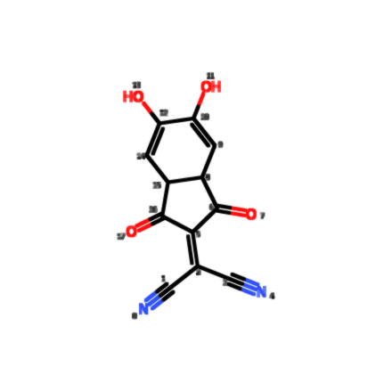 N#CC(C#N)=C1C(=O)C2C=C(O)C(O)=CC2C1=O